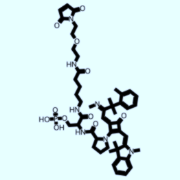 C/N=C(\C=C1/C(=O)C(/C=C2/N(C)c3ccccc3C2(C)C)=C1N1CCCC1C(=O)NC(COP(=O)(O)O)C(=O)NCCCCC(=O)NCCOCCN1C(=O)C=CC1=O)C(C)(C)c1ccccc1C